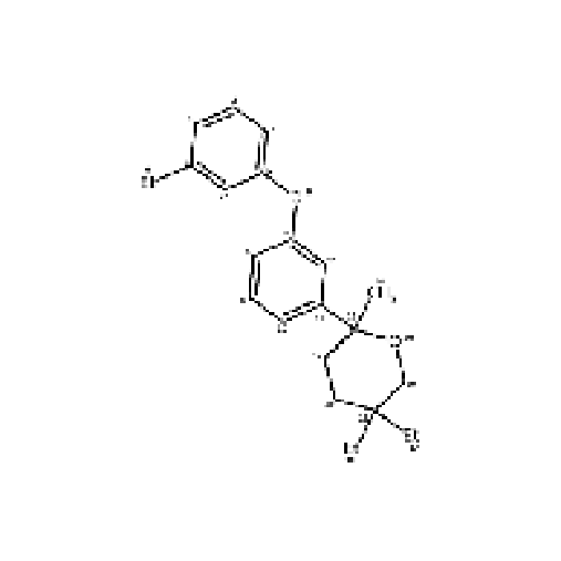 CCc1cccc(Oc2cccc(C3(C)CCC(CC)(CC)CO3)c2)c1